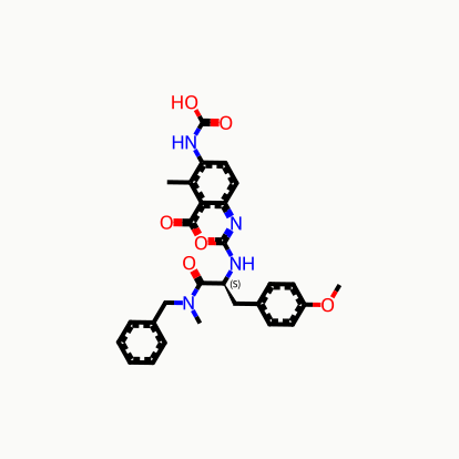 COc1ccc(C[C@H](Nc2nc3ccc(NC(=O)O)c(C)c3c(=O)o2)C(=O)N(C)Cc2ccccc2)cc1